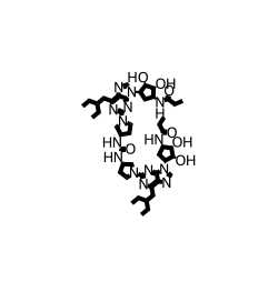 CCC(=O)N[C@H]1C[C@@H](n2cnc3c(CC(CC)CC)nc(N4CC[C@@H](NC(=O)N[C@@H]5CCN(c6nc(CC(CC)CC)c7ncn([C@@H]8C[C@H](NC(=O)CC)[C@@H](O)[C@H]8O)c7n6)C5)C4)nc32)[C@H](O)[C@@H]1O